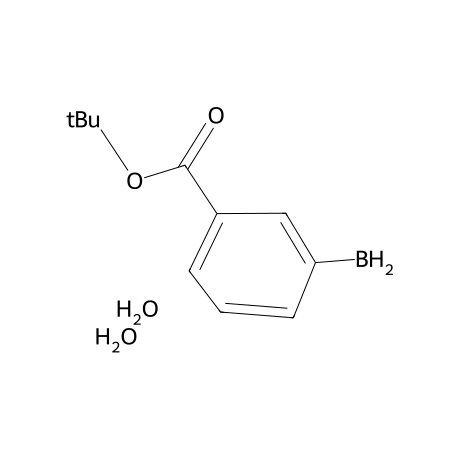 Bc1cccc(C(=O)OC(C)(C)C)c1.O.O